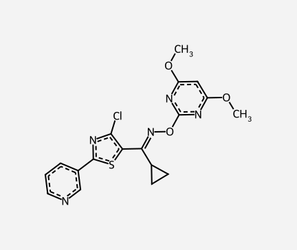 COc1cc(OC)nc(O/N=C(/c2sc(-c3cccnc3)nc2Cl)C2CC2)n1